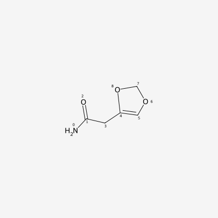 NC(=O)CC1=COCO1